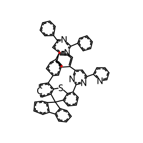 C1=C=C(c2cc(-c3ccccn3)nc(-c3cccc4c3Sc3c(-c5ccc(-c6cc(-c7ccccc7)nc(-c7ccccc7)n6)cc5)cccc3C43c4ccccc4-c4ccccc43)n2)C=CC=1